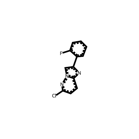 Fc1ccccc1-c1cn2nc(Cl)ccc2n1